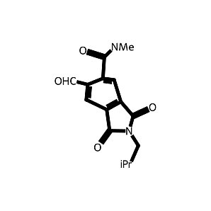 CNC(=O)c1cc2c(cc1C=O)C(=O)N(CC(C)C)C2=O